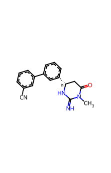 CN1C(=N)N[C@H](c2cccc(-c3cccc(C#N)c3)c2)CC1=O